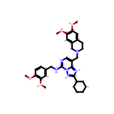 COc1ccc(CNc2ncc(CN3CCc4cc(OC)c(OC)cc4C3)c3nc(C4CCCCC4)nn23)cc1OC